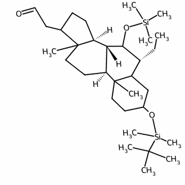 CC[C@H]1C(O[Si](C)(C)C)[C@H]2[C@@H]3CCC(CC=O)C3(C)CC[C@@H]2C2(C)CCC(O[Si](C)(C)C(C)(C)C)CC12